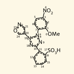 COc1cc([N+](=O)[O-])ccc1-[n+]1nc(-c2ccccc2S(=O)(=O)O)nn1-c1cnoc1